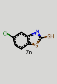 Sc1nc2cc(Cl)ccc2s1.[Zn]